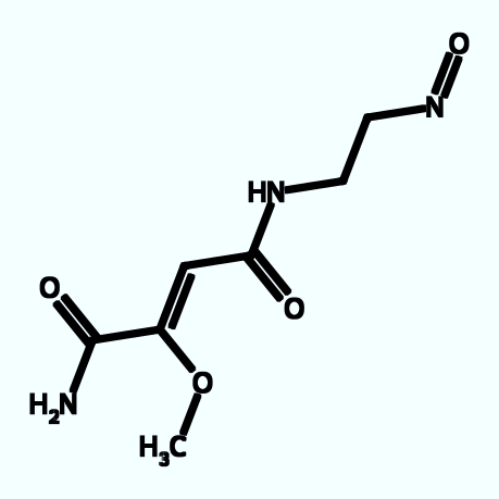 CO/C(=C\C(=O)NCCN=O)C(N)=O